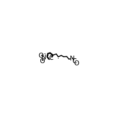 O=C=NCCCC[CH]Cc1ccc([N+](=O)[O-])cc1